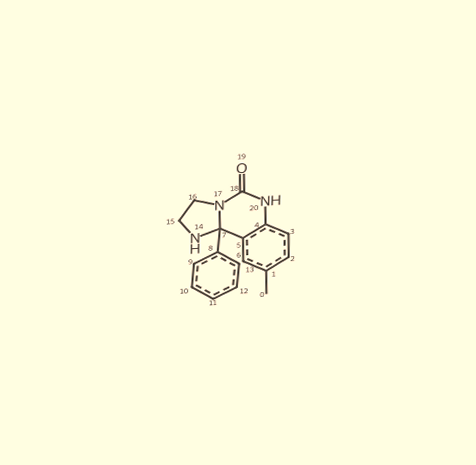 Cc1ccc2c(c1)C1(c3ccccc3)NCCN1C(=O)N2